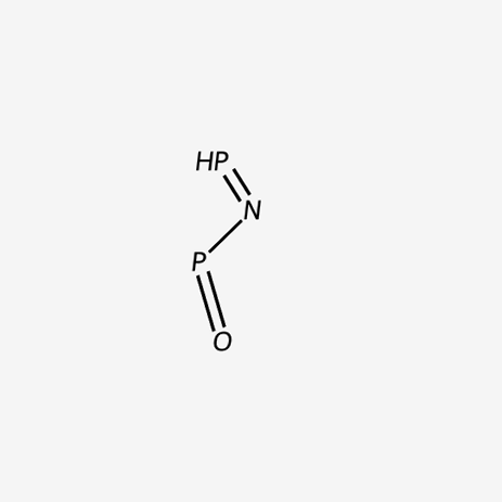 O=PN=P